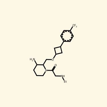 CCNCC(=O)N1CCCC(N)C1COC1CC(c2ccc(C(F)(F)F)cc2)C1